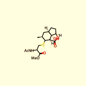 COC(=O)C(CSC1[C@@H](C)C[C@H]2CC[C@H]3OC(=O)[C@@H]1[C@@]23O)NC(C)=O